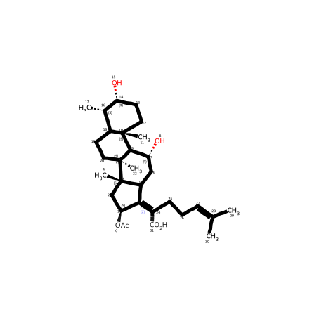 CC(=O)O[C@H]1C[C@@]2(C)C(C[C@@H](O)C3[C@@]4(C)CC[C@@H](O)[C@@H](C)C4CC[C@@]32C)/C1=C(\CCC=C(C)C)C(=O)O